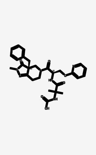 CN1N=C2CCN(C(=O)[C@@H](COc3ccccn3)NC(=O)C(C)(C)NC(=O)O)C[C@@]2(Cc2ccccc2)C1=O